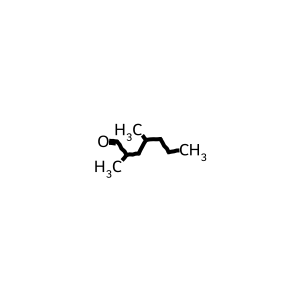 CCCC(C)CC(C)C=O